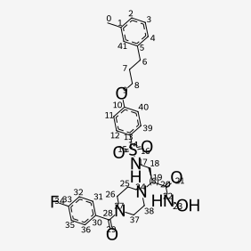 Cc1cccc(CCCOc2ccc(S(=O)(=O)NC[C@@H](C(=O)NO)N3CCN(C(=O)c4ccc(F)cc4)CC3)cc2)c1